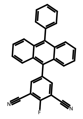 N#Cc1cc(-c2c3ccccc3c(-c3ccccc3)c3ccccc23)cc(C#N)c1F